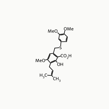 COc1ccc(SCc2cc(OC)c(CC=C(C)C)c(O)c2C(=O)O)cc1OC